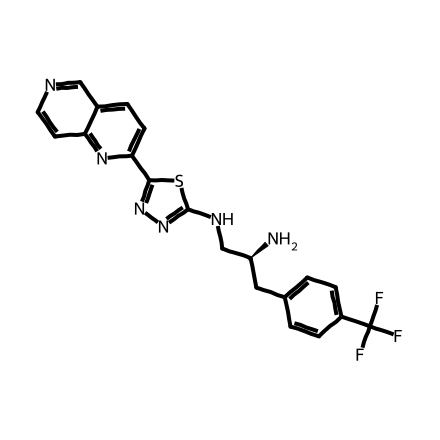 N[C@H](CNc1nnc(-c2ccc3cnccc3n2)s1)Cc1ccc(C(F)(F)F)cc1